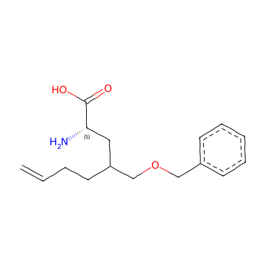 C=CCCC(COCc1ccccc1)C[C@H](N)C(=O)O